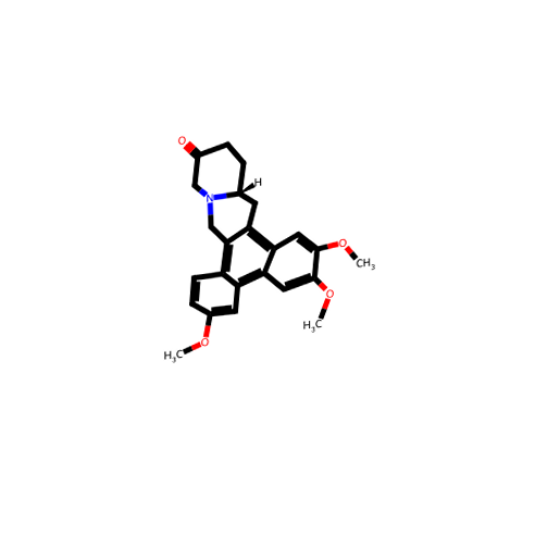 COc1ccc2c3c(c4cc(OC)c(OC)cc4c2c1)C[C@H]1CCC(=O)CN1C3